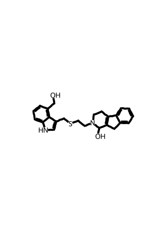 OCc1cccc2[nH]cc(CSCCN3CCC4=C(Cc5ccccc54)C3O)c12